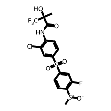 C[S+]([O-])c1ccc(S(=O)(=O)c2ccc(NC(=O)C(C)(O)C(F)(F)F)c(Cl)c2)cc1F